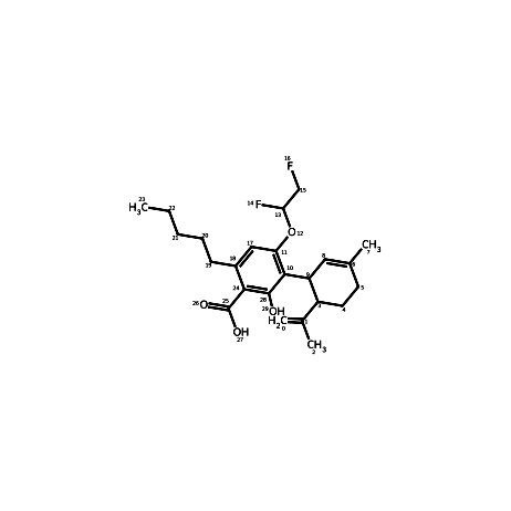 C=C(C)C1CCC(C)=CC1c1c(OC(F)CF)cc(CCCCC)c(C(=O)O)c1O